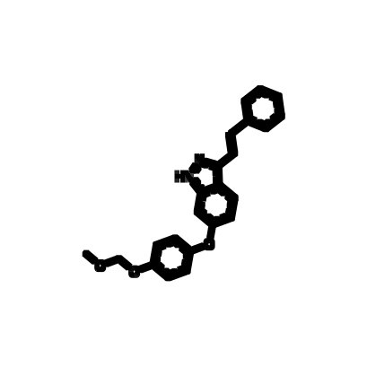 COCOc1ccc(Oc2ccc3c(/C=C/c4ccccc4)n[nH]c3c2)cc1